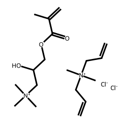 C=C(C)C(=O)OCC(O)C[N+](C)(C)C.C=CC[N+](C)(C)CC=C.[Cl-].[Cl-]